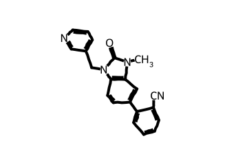 Cn1c(=O)n(Cc2cccnc2)c2ccc(-c3ccccc3C#N)cc21